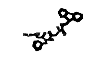 O=C(O)NCC(=O)N(Cc1ccccc1)NC(=O)CNC(=O)OCC1c2ccccc2-c2ccccc21